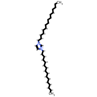 CCCCCCCCCCCCCCCCn1cc[n+](CCCCCCCCCCCCCCCC)c1